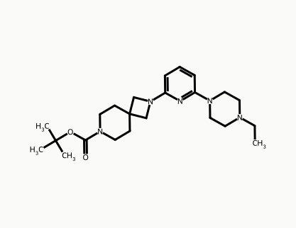 CCN1CCN(c2cccc(N3CC4(CCN(C(=O)OC(C)(C)C)CC4)C3)n2)CC1